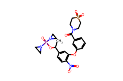 CC(OP(=O)(N1CC1)N1CC1)c1ccc([N+](=O)[O-])c(Oc2cccc(C(=O)N3CCS(=O)(=O)CC3)c2)c1